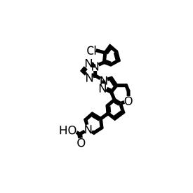 O=C(O)N1CC=C(c2ccc3c(c2)-c2nn(-c4ncnn4-c4ccccc4Cl)cc2CCO3)CC1